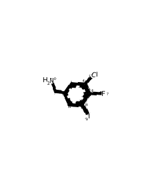 NCc1cc(Cl)c(F)c(I)c1